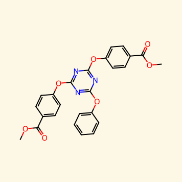 COC(=O)c1ccc(Oc2nc(Oc3ccccc3)nc(Oc3ccc(C(=O)OC)cc3)n2)cc1